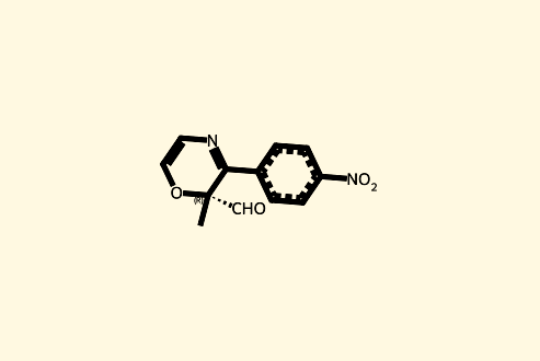 C[C@@]1(C=O)OC=CN=C1c1ccc([N+](=O)[O-])cc1